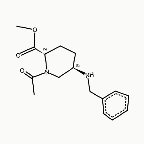 COC(=O)[C@@H]1CC[C@@H](NCc2ccccc2)CN1C(C)=O